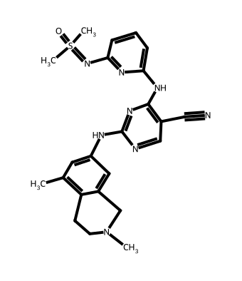 Cc1cc(Nc2ncc(C#N)c(Nc3cccc(N=S(C)(C)=O)n3)n2)cc2c1CCN(C)C2